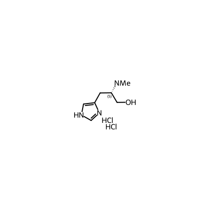 CN[C@H](CO)Cc1c[nH]cn1.Cl.Cl